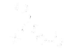 Cc1nc(C)c(-c2csc(NC(=O)[C@H](Cc3ccccc3)NC(=O)OC(C)(C)C)n2)s1